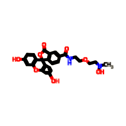 CN(O)CCOCCNC(=O)c1ccc2c(c1)C(=O)OC21c2ccc(O)cc2Oc2cc(O)ccc21